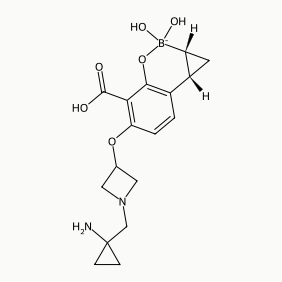 NC1(CN2CC(Oc3ccc4c(c3C(=O)O)O[B-](O)(O)[C@@H]3C[C@H]43)C2)CC1